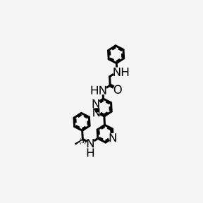 C[C@H](Nc1cncc(-c2ccc(NC(=O)CNc3ccccc3)nn2)c1)c1ccccc1